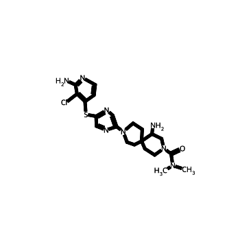 CN(C)C(=O)N1CCC2(CCN(c3cnc(Sc4ccnc(N)c4Cl)cn3)CC2)C(N)C1